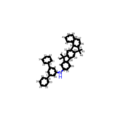 CC1(C)c2cc(Nc3cc(-c4ccccc4)cc(-c4ccccc4)c3)ccc2-c2cc3c(cc21)-c1c(ccc2ccccc12)C3(C)C